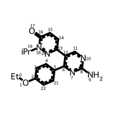 CCOc1ccc(-c2nc(N)ncc2-c2ccc(=O)n(C(C)C)n2)cc1